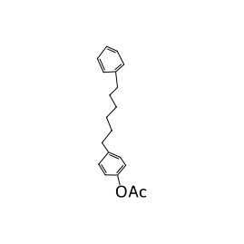 CC(=O)Oc1ccc(CCCCCCc2ccccc2)cc1